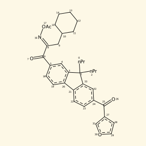 CCCC1(CCC)c2cc(C(=O)/C(CC3CCCCC3)=N/OC(C)=O)ccc2-c2ccc(C(=O)c3ccoc3)cc21